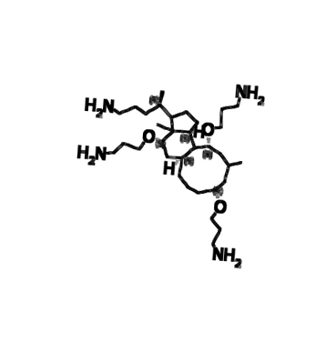 CC1C[C@H](OCCCN)CCC[C@H]2C[C@H](OCCCN)C3(C)C([C@H](C)CCCN)CC[C@H]3C2[C@H](OCCCN)C1